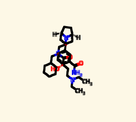 CCN(CC)CC[C@H](O)C(=O)N(CCN1[C@@H]2CC[C@H]1C[C@@H](c1cccc(C(N)=O)c1)C2)CC1CCCCC1